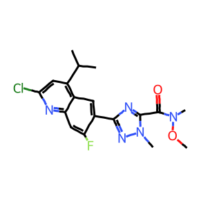 CON(C)C(=O)c1nc(-c2cc3c(C(C)C)cc(Cl)nc3cc2F)nn1C